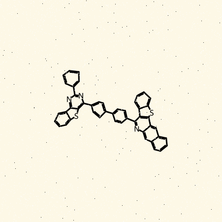 c1ccc(-c2nc(-c3ccc(-c4ccc(-c5nc6cc7ccccc7cc6c6sc7ccccc7c56)cc4)cc3)c3sc4ccccc4c3n2)cc1